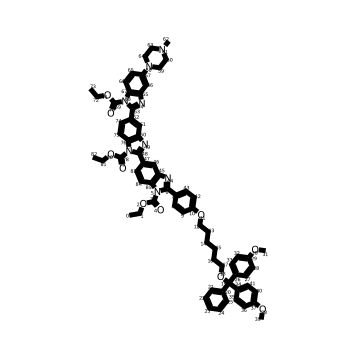 CCOC(=O)n1c(-c2ccc(OCCCCCCOC(c3ccccc3)(c3ccc(OC)cc3)c3ccc(OC)cc3)cc2)nc2cc(-c3nc4cc(-c5nc6cc(N7CCN(C)CC7)ccc6n5C(=O)OCC)ccc4n3C(=O)OCC)ccc21